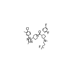 Cc1nc(C2CCN(C(=O)[C@@H]3CC(N(C)CCC(F)(F)F)C[C@H]3c3ccc(F)cc3F)CC2)n(-c2ccc(Cl)c(C)c2)n1